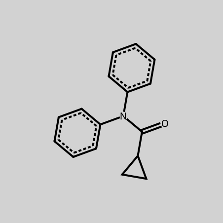 O=C(C1CC1)N(c1ccccc1)c1ccccc1